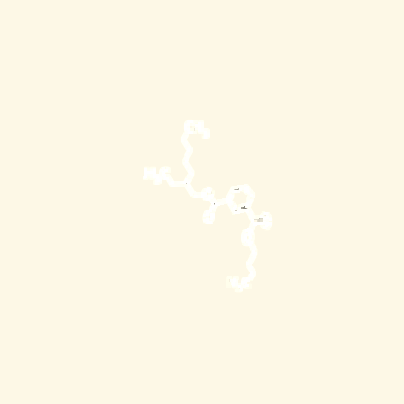 CCCCCC(CC)COC(=O)c1cccc(C(=O)OCCCC)c1